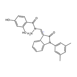 Cc1cc(C)cc(N2C(=O)/C(=C/N(N)C(=O)c3ccc(O)cc3O)c3ccccc32)c1